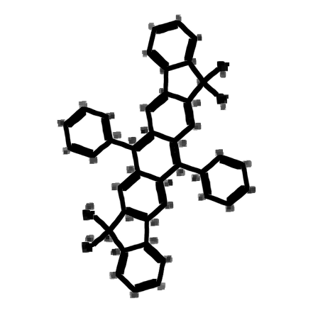 BrC1(Br)c2ccccc2-c2cc3c(-c4ccccc4)c4cc5c(cc4c(-c4ccccc4)c3cc21)-c1ccccc1C5(Br)Br